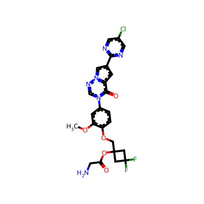 COc1cc(-n2cnn3cc(-c4ncc(Cl)cn4)cc3c2=O)ccc1OCC1(OC(=O)CN)CC(F)(F)C1